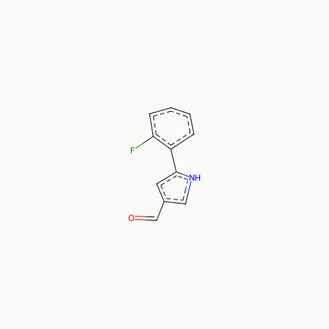 O=Cc1c[nH]c(-c2ccccc2F)c1